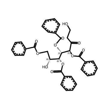 O=C(OC[C@@H](O)[C@@H](OC(=O)c1ccccc1)[C@H](OC(=O)c1ccccc1)[C@H](OC(=O)c1ccccc1)C(=O)CCO)c1ccccc1